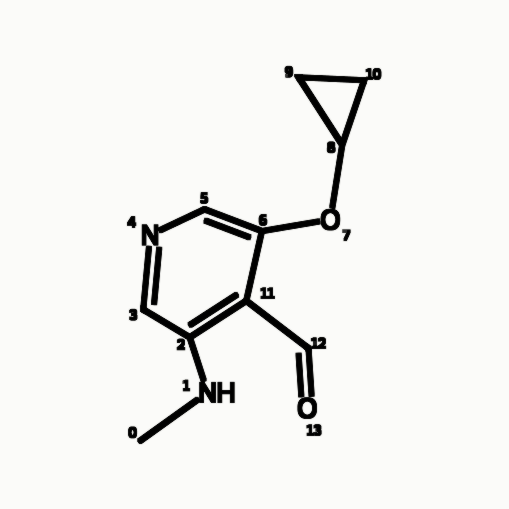 CNc1cncc(OC2CC2)c1C=O